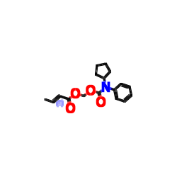 C/C=C/C(=O)OCOC(=O)N(c1ccccc1)C1CCCC1